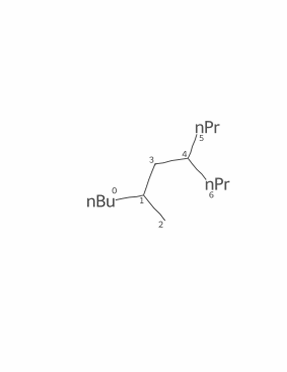 CCCCC(C)CC(CCC)CCC